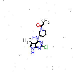 C=CC(=O)N1CCC[C@H](Nc2nc(Cl)nc3[nH]cc(C)c23)C1